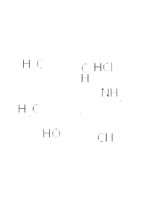 CC(C)(C)C(C)(N)O.Cl